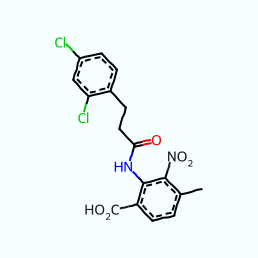 Cc1ccc(C(=O)O)c(NC(=O)CCc2ccc(Cl)cc2Cl)c1[N+](=O)[O-]